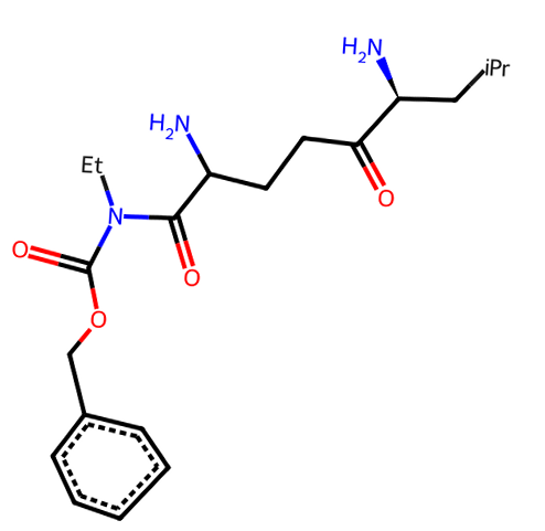 CCN(C(=O)OCc1ccccc1)C(=O)C(N)CCC(=O)[C@@H](N)CC(C)C